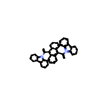 C=C(c1c2ccccc2c(C(=C)n2c3ccccc3c3ccccc32)c2ccccc12)n1c2ccccc2c2ccccc21